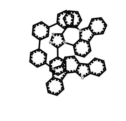 c1ccc(-c2nnc(-c3ccccc3)n2-c2cccc3c4ccccc4n(-c4cccc(-c5cccc(-c6cccc(-n7c8ccccc8c8c9oc%10ccccc%10c9ccc87)c6)c5)c4)c23)cc1